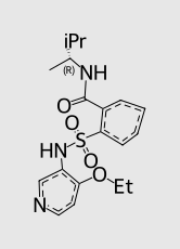 CCOc1ccncc1NS(=O)(=O)c1ccccc1C(=O)N[C@H](C)C(C)C